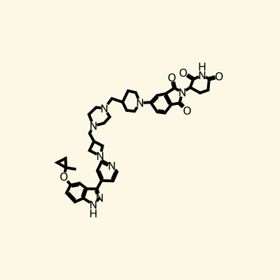 CC1(Oc2ccc3[nH]nc(-c4ccnc(N5CC(CN6CCN(CC7CCN(c8ccc9c(c8)C(=O)N(C8CCC(=O)NC8=O)C9=O)CC7)CC6)C5)c4)c3c2)CC1